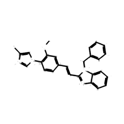 COc1cc(C=Cc2nc3ccccc3n2Cc2ccccc2)ccc1-n1cnc(C)c1